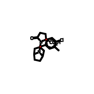 Cc1cc(CN2C3CCC2CC(N2C(=O)CC[C@@H]2C(=O)O)C3)ccc1Cl